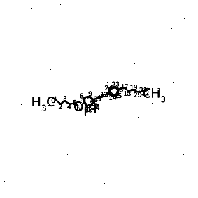 CCCCCCOc1ccc(C#Cc2ccc(CCCCCC)cc2)c(F)c1F